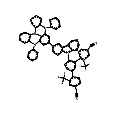 N#Cc1ccc(-c2ccc(-n3c4ccccc4c4cc(-c5cc6c7c(c5)N(c5ccccc5)c5ccccc5B7c5ccccc5N6c5ccccc5)ccc43)c(-c3ccc(C#N)cc3C(F)(F)F)c2)c(C(F)(F)F)c1